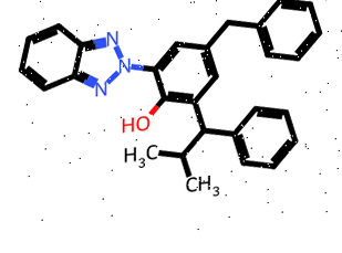 CC(C)C(c1ccccc1)c1cc(Cc2ccccc2)cc(-n2nc3ccccc3n2)c1O